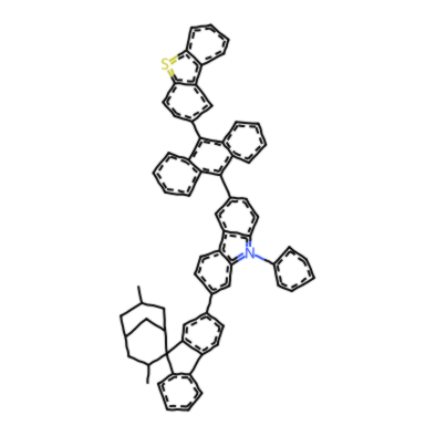 CC1CC2CC(C)C3(c4ccccc4-c4ccc(-c5ccc6c7cc(-c8c9ccccc9c(-c9ccc%10sc%11ccccc%11c%10c9)c9ccccc89)ccc7n(-c7ccccc7)c6c5)cc43)C(C1)C2